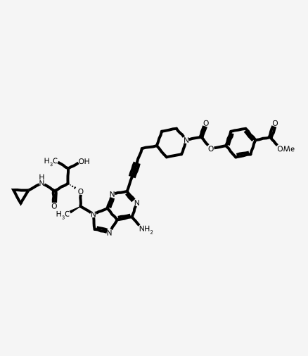 COC(=O)c1ccc(OC(=O)N2CCC(CC#Cc3nc(N)c4ncn([C@@H](C)O[C@H](C(=O)NC5CC5)C(C)O)c4n3)CC2)cc1